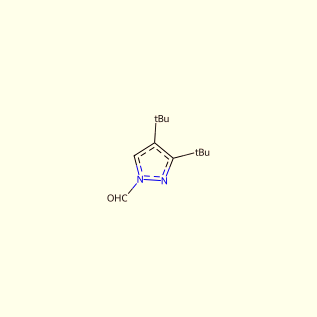 CC(C)(C)c1cn(C=O)nc1C(C)(C)C